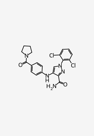 NC(=O)c1nn(-c2c(Cl)cccc2Cl)cc1Nc1ccc(C(=O)N2CCCC2)cc1